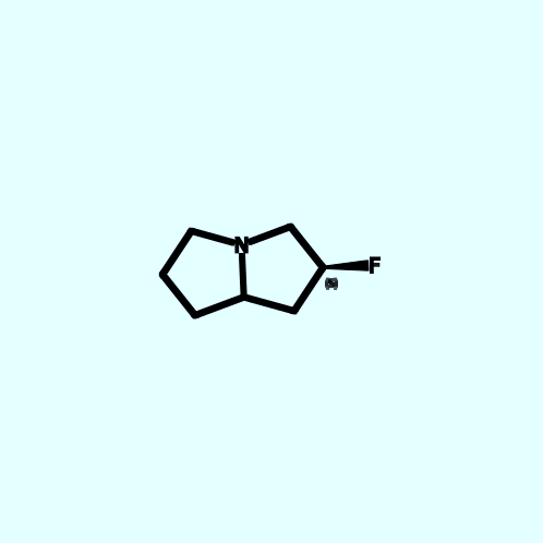 F[C@H]1CC2CCCN2C1